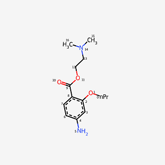 CCCOc1cc(N)ccc1C(=O)OCCN(C)C